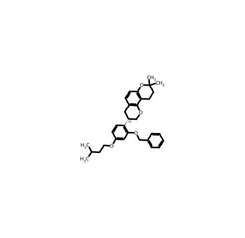 CC(C)CCOc1ccc([C@H]2COc3c(ccc4c3CCC(C)(C)O4)C2)c(OCc2ccccc2)c1